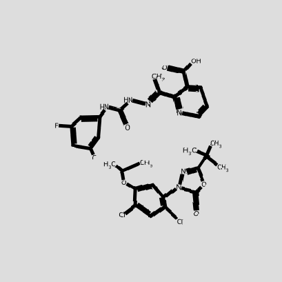 C/C(=N\NC(=O)Nc1cc(F)cc(F)c1)c1ncccc1C(=O)O.CC(C)Oc1cc(-n2nc(C(C)(C)C)oc2=O)c(Cl)cc1Cl